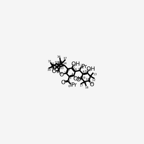 CC(C)C(=O)c1c(O)c(C(C2=C(O)C(C)(C)C(=O)C(C)(C)C2=O)C(C)C)c(O)c2c1O[C@@]13OC(C)(C)C[C@H]1C2C(C)(C)CC3(C)C